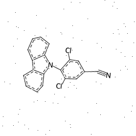 N#Cc1cc(Cl)c(-n2c3ccccc3c3ccccc32)c(Cl)c1